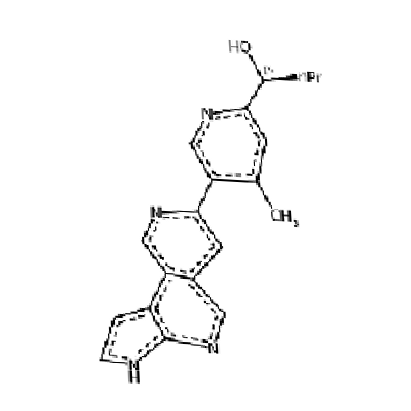 CCC[C@H](O)c1cc(C)c(-c2cc3cnc4[nH]ccc4c3cn2)cn1